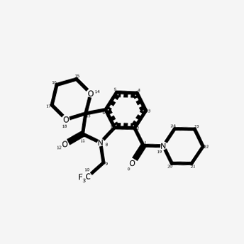 O=C(c1cccc2c1N(CC(F)(F)F)C(=O)C21OCCCO1)N1CCCCC1